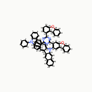 c1ccc(-n2c3ccccc3c3c(-c4nc(-c5cc6oc7ccccc7c6cc5-n5c6cc7ccccc7cc6c6cc7ccccc7cc65)nc(-c5cccc6oc7ccccc7c56)n4)cccc32)cc1